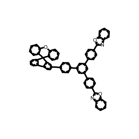 c1ccc2c(c1)Oc1ccccc1C21c2ccccc2-c2ccc(-c3ccc(-c4cc(-c5ccc(-c6nc7ccccc7o6)cc5)cc(-c5ccc(-c6nc7ccccc7o6)cc5)c4)cc3)cc21